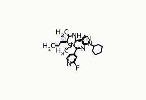 C=C/C=C(\SC)C(=C)Nc1nc(-c2ccnc(F)c2)nc2c1cnn2C1CCCCC1